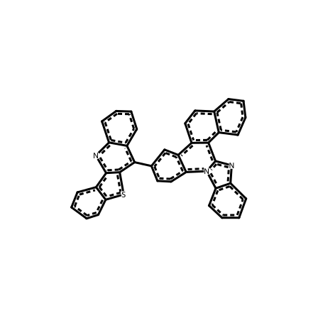 c1ccc2c(c1)ccc1c3cc(-c4c5ccccc5nc5c4sc4ccccc45)ccc3n3c4ccccc4nc3c21